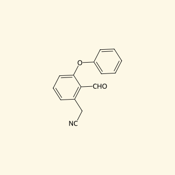 N#CCc1cccc(Oc2ccccc2)c1C=O